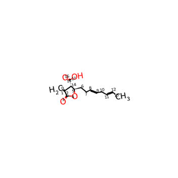 C=C1C(=O)O[C@H](CC/C=C/C/C=C/C)[C@H]1C(=O)O